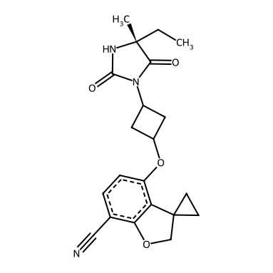 CC[C@@]1(C)NC(=O)N(C2CC(Oc3ccc(C#N)c4c3C3(CC3)CO4)C2)C1=O